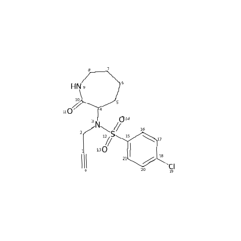 C#CCN(C1CCCCNC1=O)S(=O)(=O)c1ccc(Cl)cc1